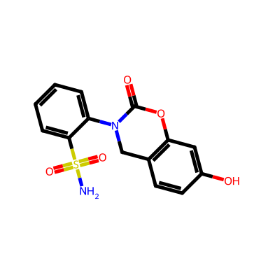 NS(=O)(=O)c1ccccc1N1Cc2ccc(O)cc2OC1=O